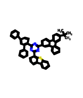 CC(C)(C)c1ccc2c3ccc(-c4nc(-c5ccc(-c6ccccc6)cc5-c5ccccc5)nc(-c5cccc6c5sc5ccccc56)n4)cc3c3ccccc3c2c1